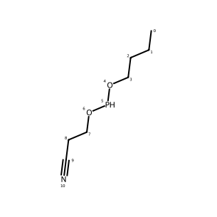 CCCCOPOCCC#N